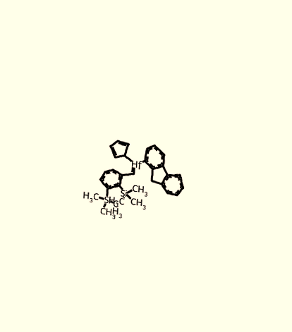 C[Si](C)(C)c1cccc([CH]=[Hf]([c]2cccc3c2Cc2ccccc2-3)[CH]2C=CC=C2)c1[Si](C)(C)C